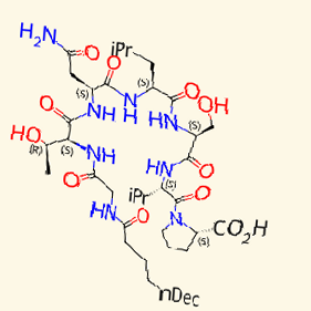 CCCCCCCCCCCCCC(=O)NCC(=O)N[C@H](C(=O)N[C@@H](CC(N)=O)C(=O)N[C@@H](CC(C)C)C(=O)N[C@@H](CO)C(=O)N[C@H](C(=O)N1CCC[C@H]1C(=O)O)C(C)C)[C@@H](C)O